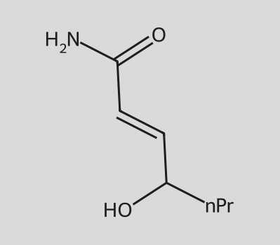 CCCC(O)C=CC(N)=O